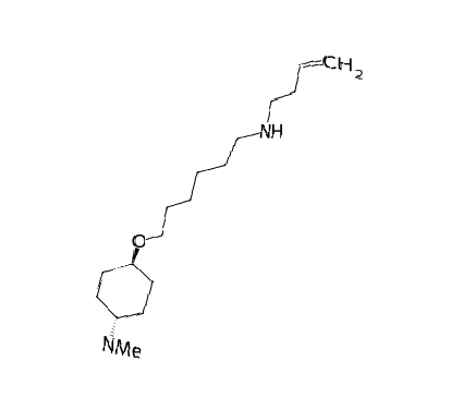 C=CCCNCCCCCCO[C@H]1CC[C@H](NC)CC1